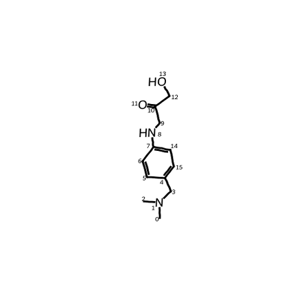 CN(C)Cc1ccc(NCC(=O)CO)cc1